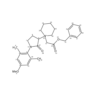 COc1cc(C)c(N2CCC([N+]3(CC(=O)OCc4ccccc4)CCCCC3)C2=O)c(C)c1